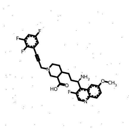 COc1ccc2ncc(F)c([C@H](N)CCC3CCN(CC#Cc4cc(F)cc(F)c4F)CC3C(=O)O)c2c1